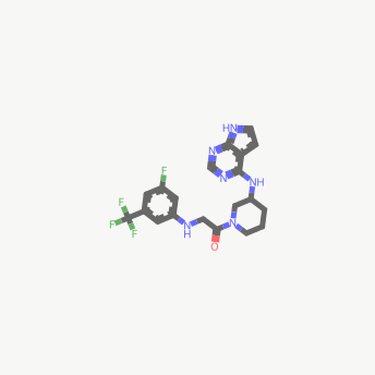 O=C(CNc1cc(F)cc(C(F)(F)F)c1)N1CCCC(Nc2ncnc3[nH]ccc23)C1